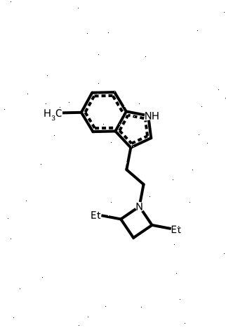 CCC1CC(CC)N1CCc1c[nH]c2ccc(C)cc12